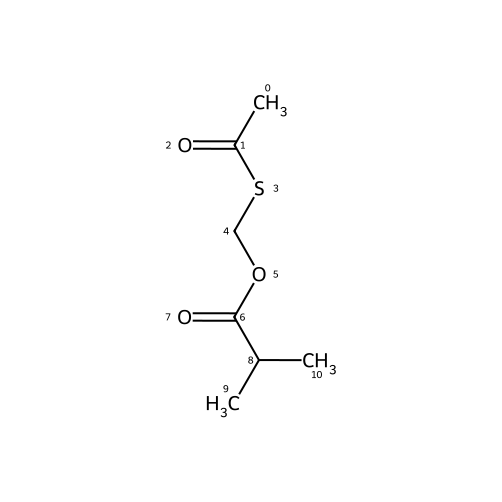 CC(=O)SCOC(=O)C(C)C